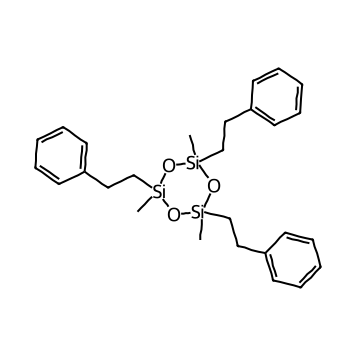 C[Si]1(CCc2ccccc2)O[Si](C)(CCc2ccccc2)O[Si](C)(CCc2ccccc2)O1